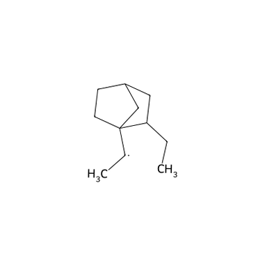 C[CH]C12CCC(CC1CC)C2